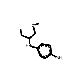 CCC(COC)Nc1ccc(N)cc1